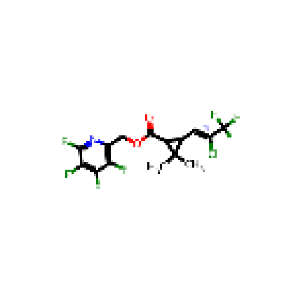 CC1(C)C(/C=C(\Cl)C(F)(F)F)C1C(=O)OCc1nc(F)c(F)c(F)c1F